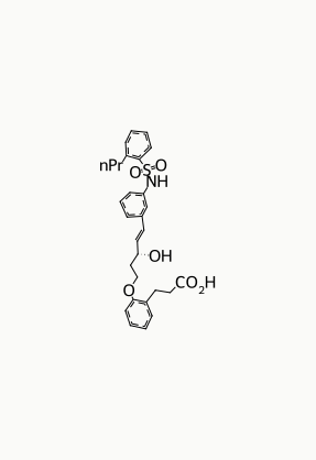 CCCc1ccccc1S(=O)(=O)Nc1cccc(/C=C/[C@H](O)CCOc2ccccc2CCC(=O)O)c1